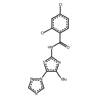 CC(C)(C)c1nc(NC(=O)c2ccc(Cl)cc2Cl)sc1-n1cncn1